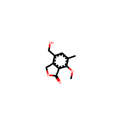 COc1c(C)cc(CO)c2c1C(=O)OC2